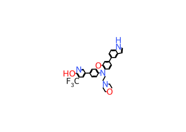 Oc1ncc(-c2ccc3c(c2)Oc2cc(-c4ccc5[nH]ccc5c4)ccc2N3CCN2CCOCC2)cc1C(F)(F)F